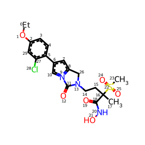 CCOc1ccc(-c2cc3n(c2)C(=O)N(CCC(C)(C(=O)NO)S(C)(=O)=O)C3)c(Cl)c1